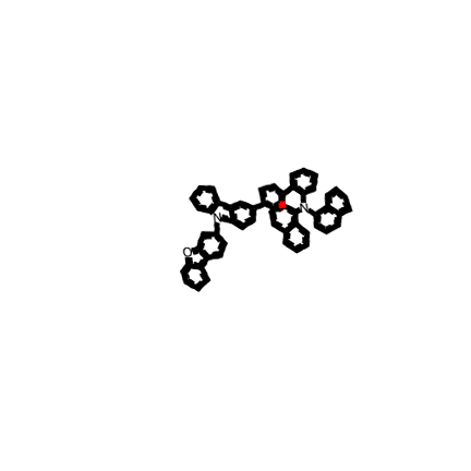 c1ccc(N(c2cccc3ccccc23)c2cccc3ccccc23)c(-c2ccc(-c3ccc4c(c3)c3ccccc3n4-c3ccc4c(c3)oc3ccccc34)cc2)c1